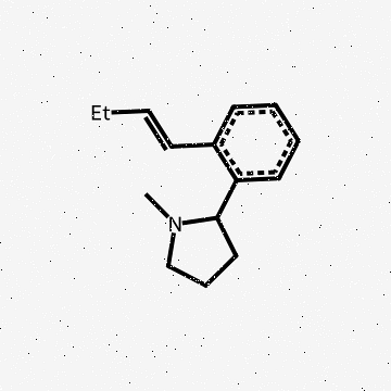 CC/C=C/c1ccccc1C1CCCN1C